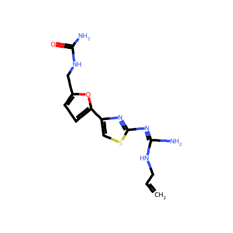 C=CCNC(N)=Nc1nc(-c2ccc(CNC(N)=O)o2)cs1